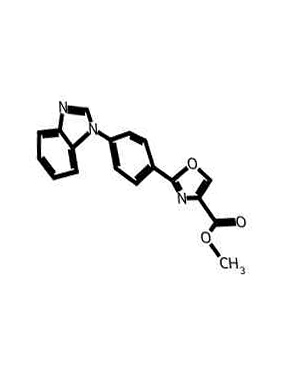 COC(=O)c1coc(-c2ccc(-n3cnc4ccccc43)cc2)n1